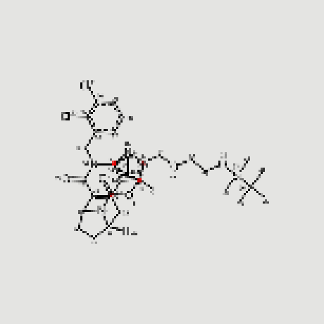 CC(C)(C)OC(=O)N1C2CC[C@H]1CC(c1cnc(COCCO[Si](C)(C)C(C)(C)C)s1)=C2C(=O)N(Cc1cccc(Cl)c1Cl)C1CC1